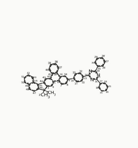 CC1(C)c2cc3c4ccc(-c5ccc(-c6nc(-c7ccccc7)nc(-c7ccccc7)n6)cc5)cc4c4ccccc4c3cc2-c2c1ccc1ccccc21